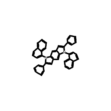 c1ccc(-c2cc3cc4c(cc(-c5ccccc5)n4-c4cccc5ccccc45)cc3n2-c2cccc3ccccc23)cc1